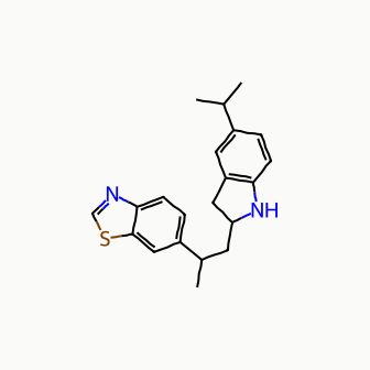 CC(C)c1ccc2c(c1)CC(CC(C)c1ccc3ncsc3c1)N2